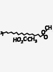 C=COC(=O)CCCCCCCCCCCCCCC(C)C.CC(=O)O